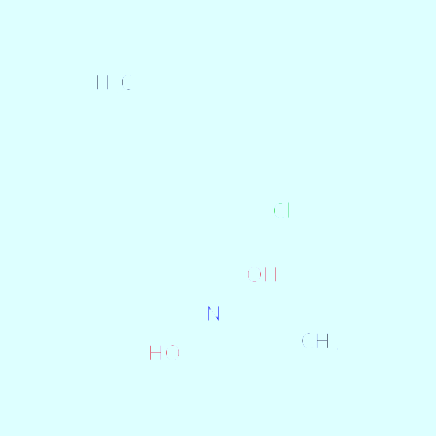 CCC=CC[N+](O)(O)CC.[Cl-]